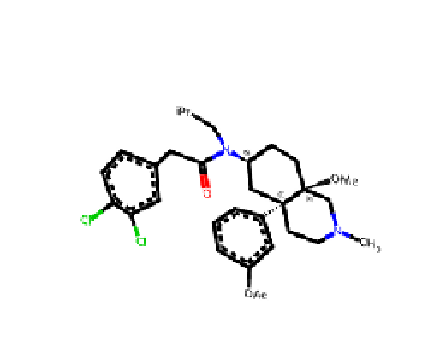 CO[C@]12CC[C@H](N(CC(C)C)C(=O)Cc3ccc(Cl)c(Cl)c3)C[C@]1(c1cccc(OC(C)=O)c1)CCN(C)C2